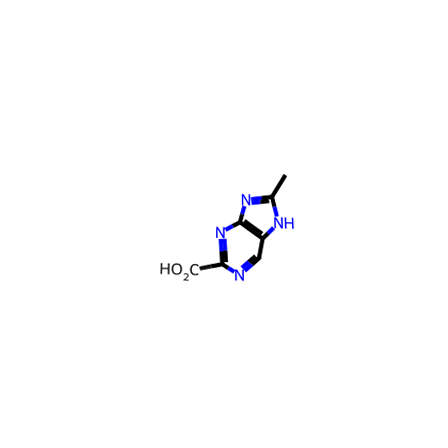 Cc1nc2nc(C(=O)O)ncc2[nH]1